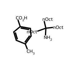 CCCCCCCCC(N)(CCCCCCCC)CCCCCCCC.Cc1ccc(C(=O)O)cc1